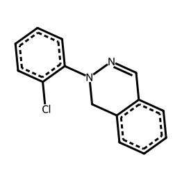 Clc1ccccc1N1Cc2ccccc2C=N1